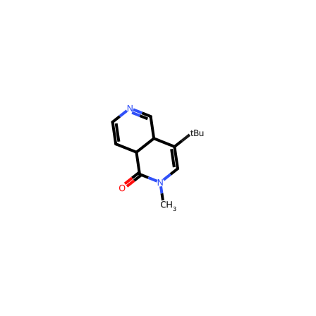 CN1C=C(C(C)(C)C)C2C=NC=CC2C1=O